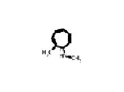 CN[C@@H]1C=CC=CC=C1C